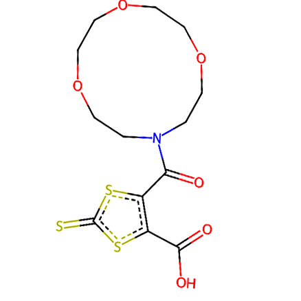 O=C(O)c1sc(=S)sc1C(=O)N1CCOCCOCCOCC1